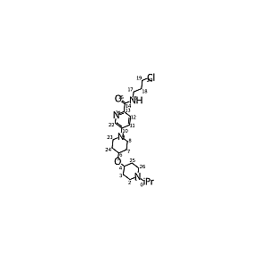 CC(C)N1CCC(OC2CCN(c3ccc(C(=O)NCCCCl)nc3)CC2)CC1